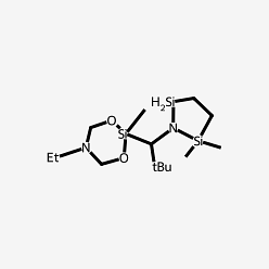 CCN1CO[Si](C)(C(N2[SiH2]CC[Si]2(C)C)C(C)(C)C)OC1